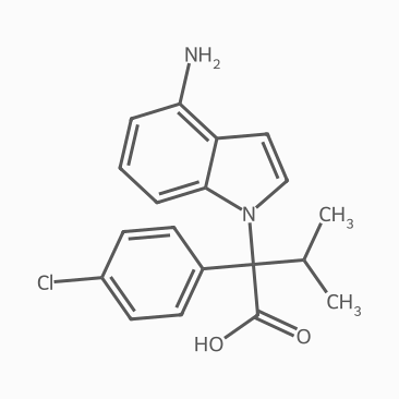 CC(C)C(C(=O)O)(c1ccc(Cl)cc1)n1ccc2c(N)cccc21